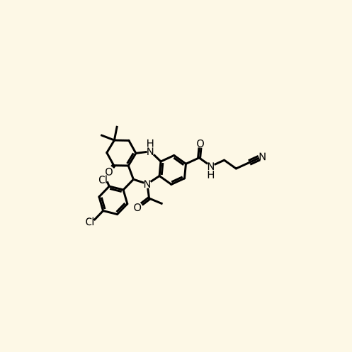 CC(=O)N1c2ccc(C(=O)NCCC#N)cc2NC2=C(C(=O)CC(C)(C)C2)C1c1ccc(Cl)cc1Cl